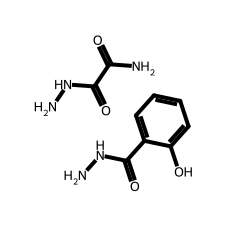 NNC(=O)C(N)=O.NNC(=O)c1ccccc1O